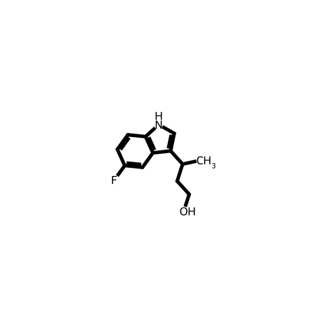 CC(CCO)c1c[nH]c2ccc(F)cc12